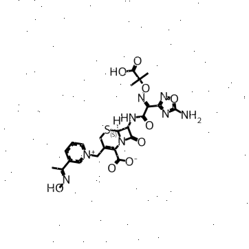 CC(=NO)c1ccc[n+](CC2=C(C(=O)[O-])N3C(=O)C(NC(=O)C(=NOC(C)(C)C(=O)O)c4noc(N)n4)[C@@H]3SC2)c1